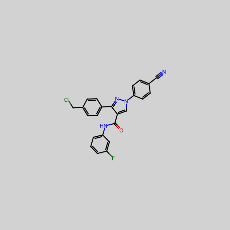 N#Cc1ccc(-n2cc(C(=O)Nc3cccc(F)c3)c(-c3ccc(CCl)cc3)n2)cc1